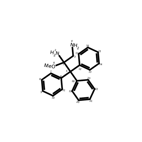 COC(N)(CN)C(c1ccccc1)(c1ccccc1)c1ccccc1